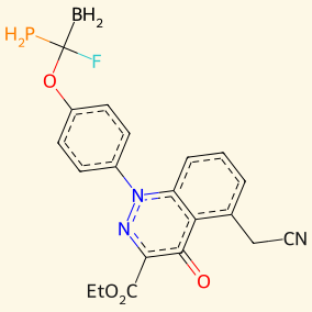 BC(F)(P)Oc1ccc(-n2nc(C(=O)OCC)c(=O)c3c(CC#N)cccc32)cc1